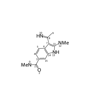 CNC(=O)c1ccc2c(C(C)=N)c(NC)[nH]c2c1